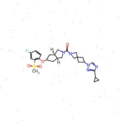 CS(=O)(=O)c1cc(F)ccc1OC1C[C@@H]2CN(C(=O)N3CC4(CC(n5cnc(C6CC6)n5)C4)C3)C[C@@H]2C1